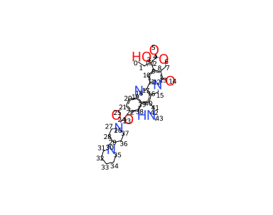 CC[C@@]1(O)C(=O)OCc2c1cc1n(c2=O)Cc2c-1nc1ccc(OC(=O)N3CCC(N4CCCCC4)CC3)cc1c2CNC